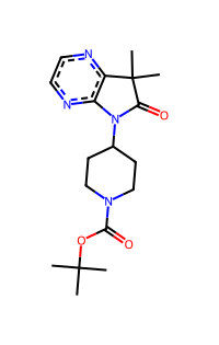 CC(C)(C)OC(=O)N1CCC(N2C(=O)C(C)(C)c3nccnc32)CC1